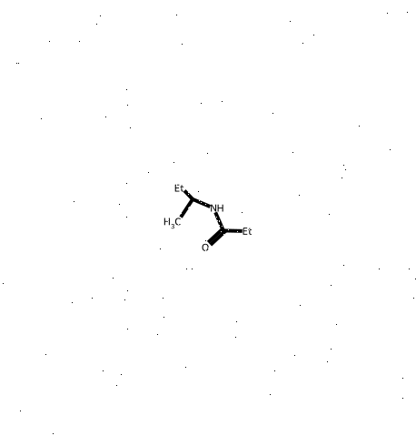 [CH2]CC(=O)NC(C)CC